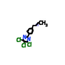 C/C=C/Cc1ccc(-c2nc(Cl)c(Cl)c(Cl)n2)cc1